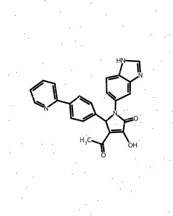 CC(=O)C1=C(O)C(=O)N(c2ccc3[nH]cnc3c2)C1c1ccc(-c2ccccn2)cc1